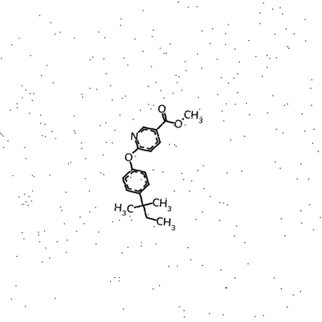 CCC(C)(C)c1ccc(Oc2ccc(C(=O)OC)cn2)cc1